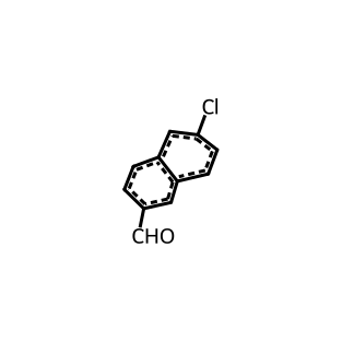 O=Cc1ccc2cc(Cl)ccc2c1